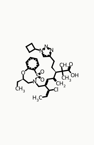 C=C(/C=C(CN1C[C@@H](CC)Oc2ccccc2S1(=O)=O)\C(Cl)=C/C)[C@@H](CCc1cn(C2CCC2)nn1)C(C)(C)C(=O)O